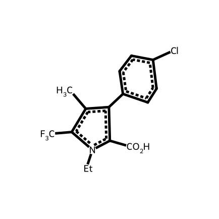 CCn1c(C(=O)O)c(-c2ccc(Cl)cc2)c(C)c1C(F)(F)F